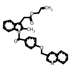 C=CCOC(=O)Cc1c(C)n(C(=O)c2ccc(OCc3cnc4ccccc4c3)cc2)c2ccccc12